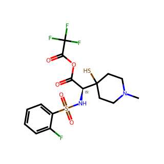 CN1CCC(S)([C@@H](NS(=O)(=O)c2ccccc2F)C(=O)OC(=O)C(F)(F)F)CC1